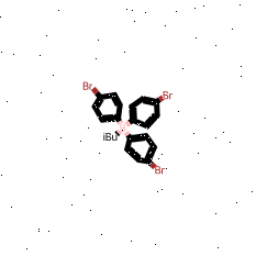 CCC(C)[B-](c1ccc(Br)cc1)(c1ccc(Br)cc1)c1ccc(Br)cc1